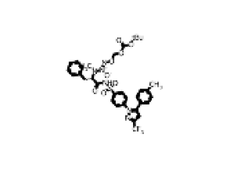 Cc1ccc(-c2cc(C(F)(F)F)nn2-c2ccc(S(=O)(=O)NC(=O)[C@H](Cc3ccccc3)N(C)[N+]([O-])=NOCOC(=O)OC(C)(C)C)cc2)cc1